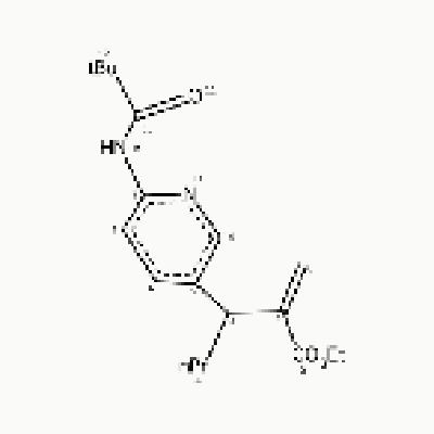 C=C(C(=O)OCC)C(CCC)c1ccc(NC(=O)C(C)(C)C)nc1